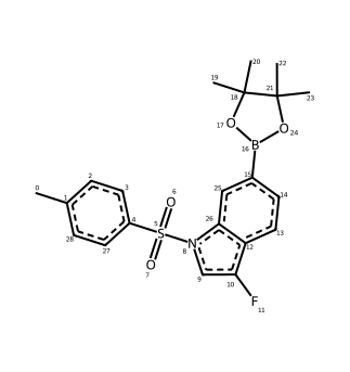 Cc1ccc(S(=O)(=O)n2cc(F)c3ccc(B4OC(C)(C)C(C)(C)O4)cc32)cc1